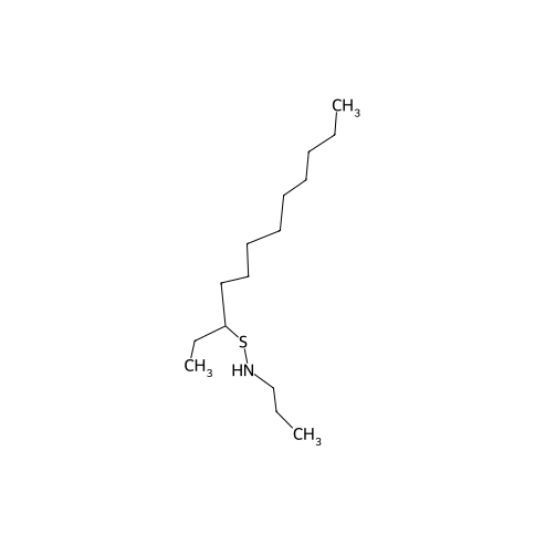 CCCCCCCCCC(CC)SNCCC